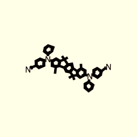 Cc1cc(N(c2ccccc2)c2ccc(C#N)cc2)cc2c1-c1cc3c(cc1C2(C)C)-c1c(C)cc(N(c2ccccc2)c2ccc(C#N)cc2)cc1C3(C)C